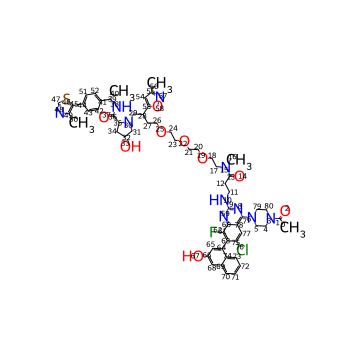 CC(=O)N1CCN(c2nc(NCCC(=O)N(C)CCOCCOCCOCCC(CN3C[C@H](O)C[C@H]3C(=O)N[C@@H](C)c3ccc(-c4scnc4C)cc3)c3cc(C)no3)nc3c(F)c(-c4cc(O)cc5ccccc45)c(Cl)cc23)CC1